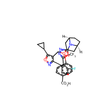 O=C(O)c1ccc(-c2nnc(N3[C@@H]4CC[C@H]3C[C@@H](OCc3c(-c5ccccc5OC(F)(F)F)noc3C3CC3)C4)o2)c(F)c1